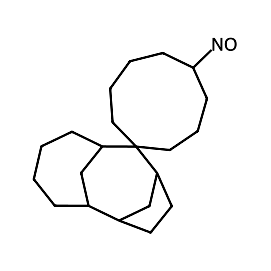 O=NC1CCCCC2(CCC1)C1CCCCC(C1)C1CCC2C1